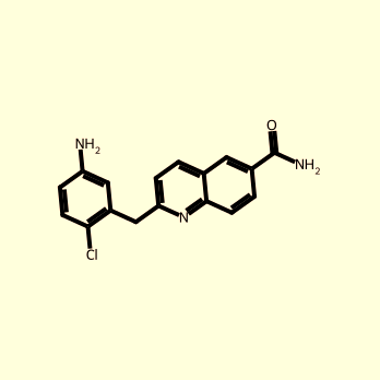 NC(=O)c1ccc2nc(Cc3cc(N)ccc3Cl)ccc2c1